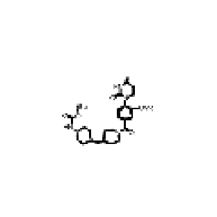 COc1cc(C(=O)N2CCC(CC3CCN(NC(=O)OC(C)(C)C)CC3)CC2)ccc1N1CCC(=O)NC1=O